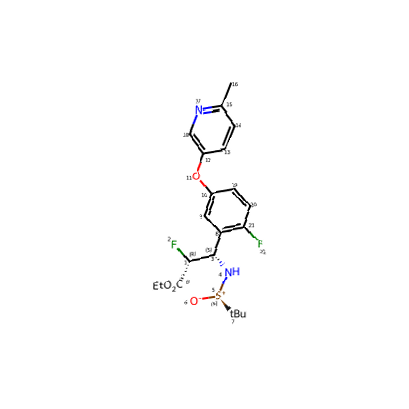 CCOC(=O)[C@H](F)[C@@H](N[S@+]([O-])C(C)(C)C)c1cc(Oc2ccc(C)nc2)ccc1F